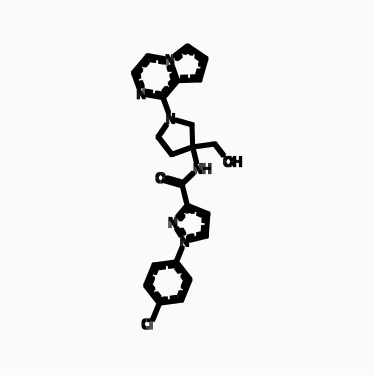 O=C(NC1(CO)CCN(c2nccn3cccc23)C1)c1ccn(-c2ccc(Cl)cc2)n1